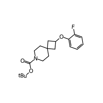 CC(C)(C)OC(=O)N1CCC2(CC1)CC(Oc1ccccc1F)C2